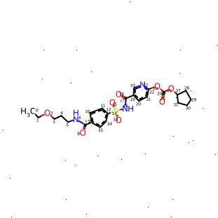 CCOCCCNC(=O)c1ccc(S(=O)(=O)NC(=O)c2ccc(OC(=O)OC3CCCC3)nc2)cc1